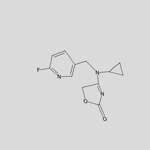 O=C1N=C(N(Cc2ccc(F)nc2)C2CC2)CO1